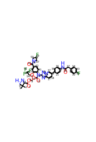 CC(C)(C)C(N)C(=O)OCOC(=O)N(c1nc2ccc(-c3ccc(NC(=O)Cc4ccc(F)cc4)cc3)cn2n1)c1ccc(C(=O)N2CC(F)C2)cc1OCC(F)(F)F